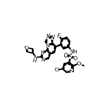 COc1ncc(Cl)cc1S(=O)(=O)Nc1ccc(F)c(-c2cc3cnc(NC4COC4)nc3n3cnnc23)c1